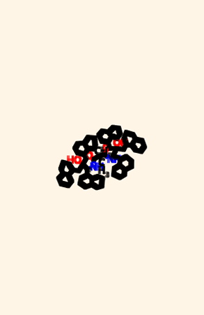 CC(C)(C(=O)N[C@@H](c1cccc2ccccc12)C(O)(Cc1cccc2ccccc12)Cc1cccc2ccccc12)C(=O)N[C@@H](c1cccc2ccccc12)C(O)(Cc1cccc2ccccc12)Cc1cccc2ccccc12